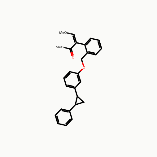 COC=C(C(=O)OC)c1ccccc1COc1cccc(C2CC2c2ccccc2)c1